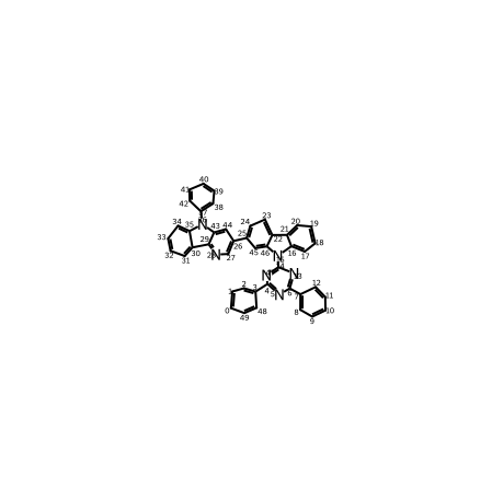 c1ccc(-c2nc(-c3ccccc3)nc(-n3c4ccccc4c4ccc(-c5cnc6c7ccccc7n(-c7ccccc7)c6c5)cc43)n2)cc1